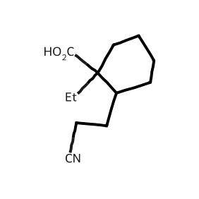 CCC1(C(=O)O)CCCCC1CCC#N